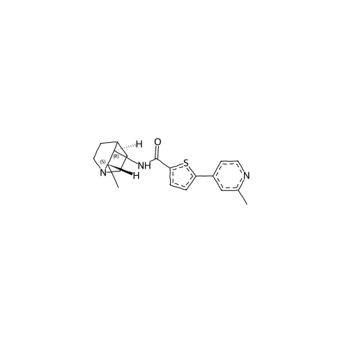 Cc1cc(-c2ccc(C(=O)N[C@@H]3C4CCN(CC4)[C@H]3C)s2)ccn1